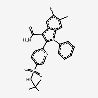 Cc1cc2c(cc1F)c(C(N)=O)c(-c1ccc(S(=O)(=O)NC(C)(C)C)cn1)n2-c1ccccc1